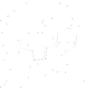 O=S(=O)(Cl)c1ccc(N2C=CC=CC2)s1